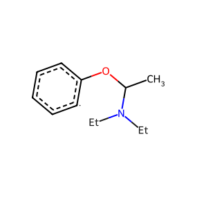 CCN(CC)C(C)Oc1[c]cccc1